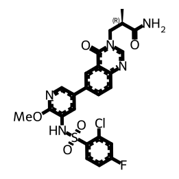 COc1ncc(-c2ccc3ncn(C[C@@H](C)C(N)=O)c(=O)c3c2)cc1NS(=O)(=O)c1ccc(F)cc1Cl